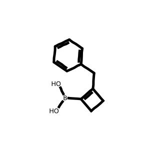 OB(O)C1=C(Cc2ccccc2)CC1